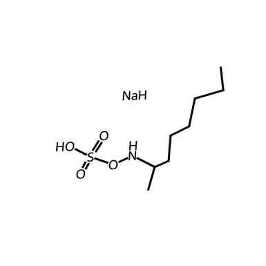 CCCCCCC(C)NOS(=O)(=O)O.[NaH]